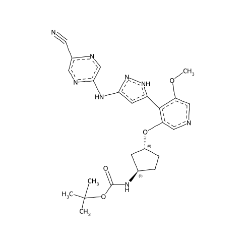 COc1cncc(O[C@@H]2CC[C@@H](NC(=O)OC(C)(C)C)C2)c1-c1cc(Nc2cnc(C#N)cn2)n[nH]1